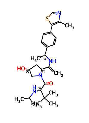 C=C(N[C@@H](C)c1ccc(-c2scnc2C)cc1)[C@@H]1C[C@@H](O)CN1C(=O)[C@@H](NC(C)C)C(C)(C)C